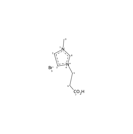 Cn1cc[n+](CCC(=O)O)c1.[Br-]